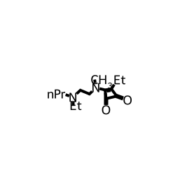 CCCN(CC)CCN(C)c1c(CC)c(=O)c1=O